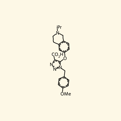 COc1ccc(Cn2nnc(C(=O)O)c2Oc2ccc3c(c2)CCN(C(C)C)C3)cc1